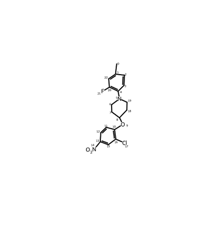 Cc1ccc(N2CCC(Oc3ccc([N+](=O)[O-])cc3Cl)CC2)c(F)c1